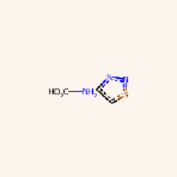 NC(=O)O.c1csnn1